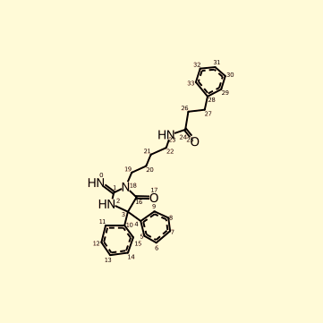 N=C1NC(c2ccccc2)(c2ccccc2)C(=O)N1CCCCNC(=O)CCc1ccccc1